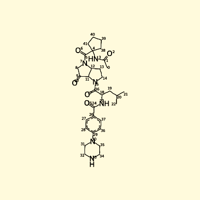 CC(=O)NC1(C(=O)N2CC(=O)C3C2CCN3C(=O)C(CC(C)C)NC(=O)c2ccc(N3CCNCC3)cc2)CCCC1